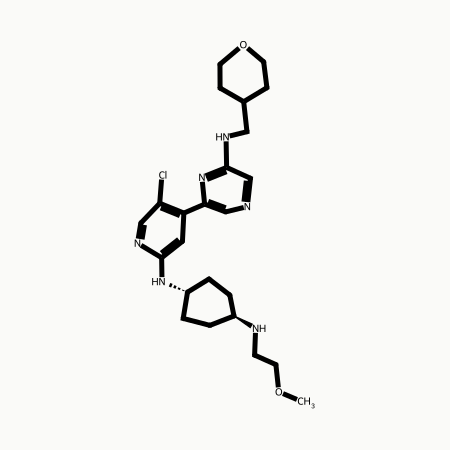 COCCN[C@H]1CC[C@H](Nc2cc(-c3cncc(NCC4CCOCC4)n3)c(Cl)cn2)CC1